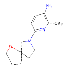 COc1nc(N2CCC3(CCCO3)C2)ccc1N